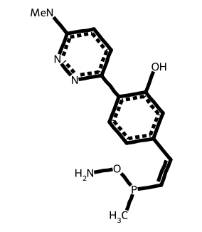 CNc1ccc(-c2ccc(/C=C\P(C)ON)cc2O)nn1